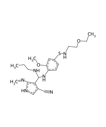 C=Nc1[nH]cc(C#N)c1C(NCCC)Nc1ccc(SNCCOCC)cc1OC